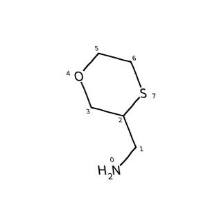 NCC1COCCS1